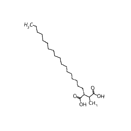 CCCCCCCCCCCCCCCCCCC(C(=O)O)C(C)C(=O)O